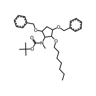 CCCCCCCOC1C(OCc2ccccc2)CC(OCc2ccccc2)C1N(C)C(=O)OC(C)(C)C